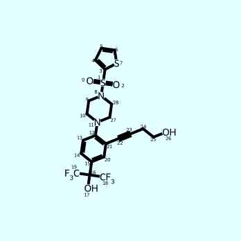 O=S(=O)(c1cccs1)N1CCN(c2ccc(C(O)(C(F)(F)F)C(F)(F)F)cc2C#CCCO)CC1